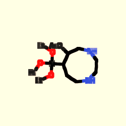 CCO[Si](OCC)(OCC)C1CCNCCNCC1OC(C)=O